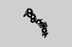 CC[C@H]1CC2C3CC[C@H]([C@H](C)C[C@H](C)C(=O)NS(=O)(=O)c4ccc(C(F)(F)F)cc4)[C@@]3(C)CCC2[C@@]2(C)CCCC[C@@H]12